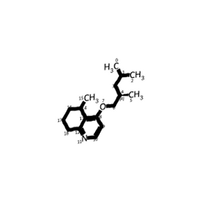 CC(C)C[C@@H](C)COc1ccnc2c1C(C)CCC2